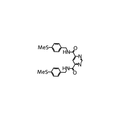 CSc1ccc(CNC(=O)c2cc(C(=O)NCc3ccc(SC)cc3)ncn2)cc1